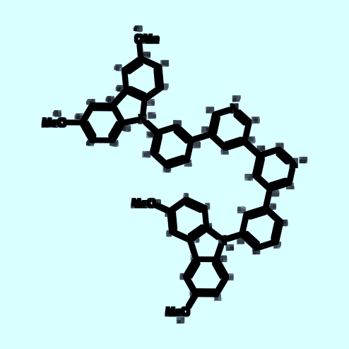 COc1ccc2c(c1)c1cc(OC)ccc1n2-c1cccc(-c2cncc(-c3cncc(-c4cccc(-n5c6ccc(OC)cc6c6cc(OC)ccc65)c4)c3)c2)c1